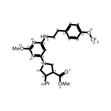 COC(=O)C1CN(c2cc(NCCc3ccc(OC(F)(F)F)cc3)nc(OC)n2)CC1C(C)C